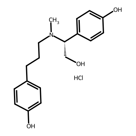 CN(CCCc1ccc(O)cc1)[C@@H](CO)c1ccc(O)cc1.Cl